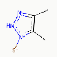 Cc1n[nH][n+]([S-])c1C